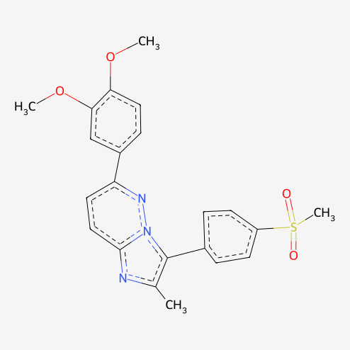 COc1ccc(-c2ccc3nc(C)c(-c4ccc(S(C)(=O)=O)cc4)n3n2)cc1OC